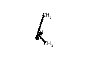 CCCCCCCCCCCCCCCCCCC(Cc1ccccc1)C(CCCCCCCCC)n1ccnc1